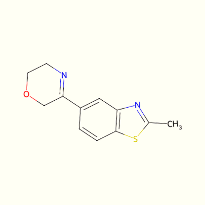 Cc1nc2cc(C3=NCCOC3)ccc2s1